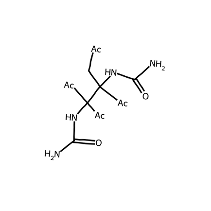 CC(=O)CC(NC(N)=O)(C(C)=O)C(NC(N)=O)(C(C)=O)C(C)=O